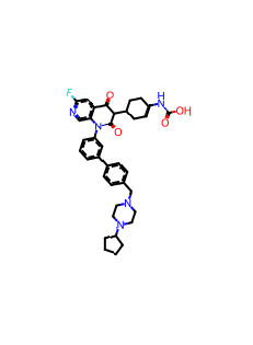 O=C(O)NC1CCC(C2C(=O)c3cc(F)ncc3N(c3cccc(-c4ccc(CN5CCN(C6CCCC6)CC5)cc4)c3)C2=O)CC1